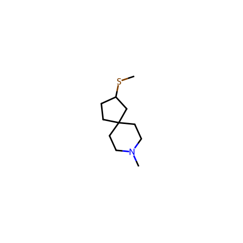 CSC1CCC2(CCN(C)CC2)C1